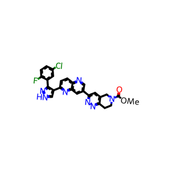 COC(=O)N1CCc2nnc(-c3cnc4ccc(-c5c[nH]nc5-c5cc(Cl)ccc5F)nc4c3)cc2C1